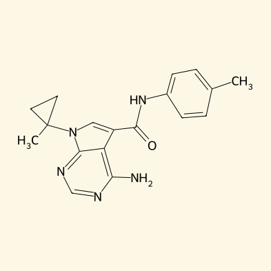 Cc1ccc(NC(=O)c2cn(C3(C)CC3)c3ncnc(N)c23)cc1